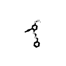 [CH2]C#Cc1cc(OC(F)(F)F)ccc1OCOCc1ccccc1